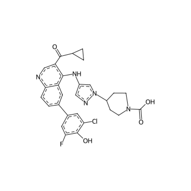 O=C(c1cnc2ccc(-c3cc(F)c(O)c(Cl)c3)cc2c1Nc1cnn(C2CCN(C(=O)O)CC2)c1)C1CC1